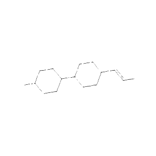 CC=CC1CCC(C2CCC(C=O)CC2)CC1